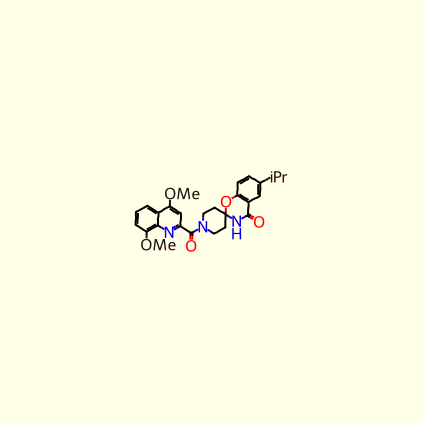 COc1cc(C(=O)N2CCC3(CC2)NC(=O)c2cc(C(C)C)ccc2O3)nc2c(OC)cccc12